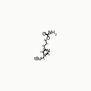 CC(C)(C)Cn1cnc(CCCOC(N)=O)c1